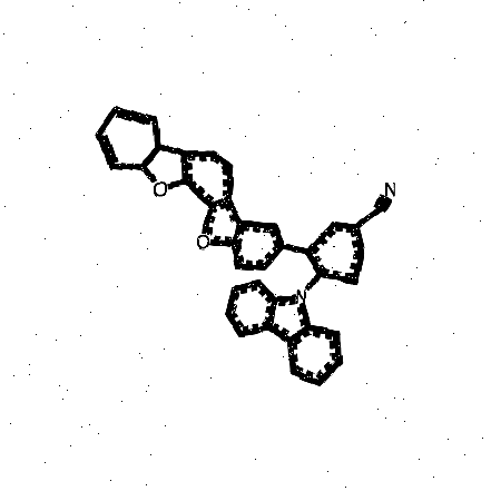 N#Cc1ccc(-n2c3ccccc3c3ccccc32)c(-c2ccc3oc4c5c(ccc4c3c2)C2C=CC=CC2O5)c1